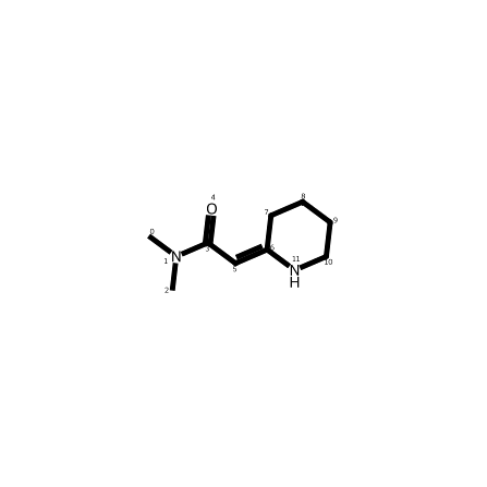 CN(C)C(=O)C=C1C[CH]CCN1